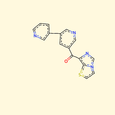 O=C(c1cncc(-c2cccnc2)c1)c1ncn2ccsc12